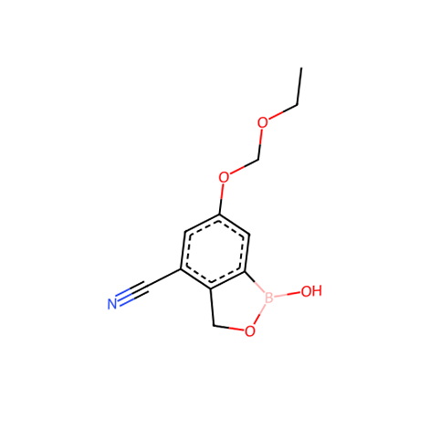 CCOCOc1cc(C#N)c2c(c1)B(O)OC2